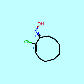 O/N=C1CCCCCCC/C=C\1Cl